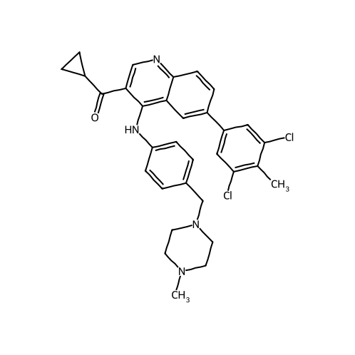 Cc1c(Cl)cc(-c2ccc3ncc(C(=O)C4CC4)c(Nc4ccc(CN5CCN(C)CC5)cc4)c3c2)cc1Cl